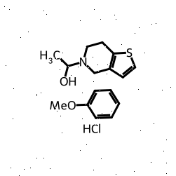 CC(O)N1CCc2sccc2C1.COc1ccccc1.Cl